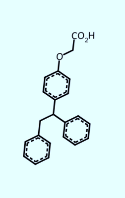 O=C(O)COc1ccc(C(Cc2ccccc2)c2ccccc2)cc1